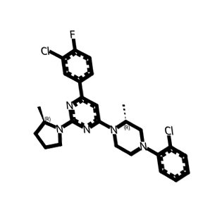 C[C@@H]1CN(c2ccccc2Cl)CCN1c1cc(-c2ccc(F)c(Cl)c2)nc(N2CCC[C@H]2C)n1